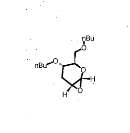 CCCCOC[C@H]1O[C@@H]2O[C@@H]2C[C@@H]1OCCCC